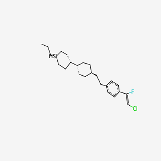 CCC[Si@H]1CC[C@H]([C@H]2CC[C@H](CCc3ccc(C(F)=CCl)cc3)CC2)CC1